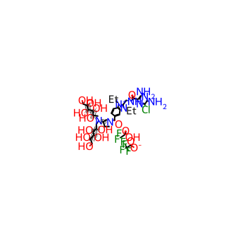 CCn1c(CNC(=O)c2nc(Cl)c(N)nc2N)[n+](CC)c2ccc(C(=O)N3CC[C@@H](N(C[C@H](O)[C@@H](O)[C@H](O)[C@H](O)CO)C[C@H](O)[C@@H](O)[C@H](O)[C@H](O)CO)C3)cc21.O=C(O)C(F)(F)F.O=C([O-])C(F)(F)F